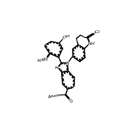 CNC(=O)c1ccc2c(c1)nc(-c1cc(O)ccc1NC(C)=O)n2-c1ccc2c(c1)CCC(=O)N2